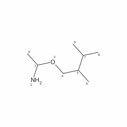 CC(N)OCC(C)C(C)C